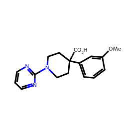 COc1cccc(C2(C(=O)O)CCN(c3ncccn3)CC2)c1